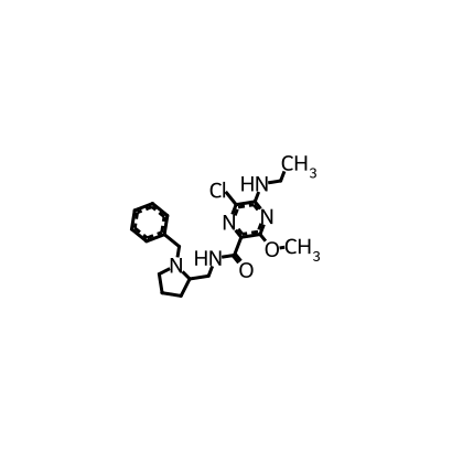 CCNc1nc(OC)c(C(=O)NCC2CCCN2Cc2ccccc2)nc1Cl